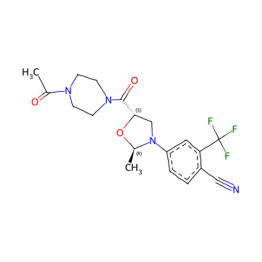 CC(=O)N1CCN(C(=O)[C@@H]2CN(c3ccc(C#N)c(C(F)(F)F)c3)[C@@H](C)O2)CC1